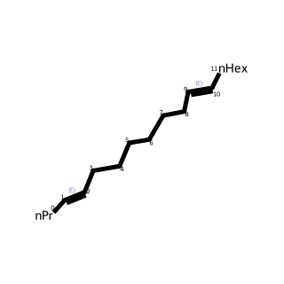 [CH2]CC/C=C/CCCCCC/C=C/CCCCCC